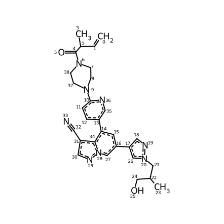 C=CC(C)C(=O)N1CCN(c2ccc(-c3cc(-c4cnn(CC(C)CO)c4)cn4ncc(C#N)c34)cn2)CC1